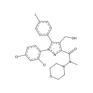 CN(C(=O)c1nn(-c2ccc(Cl)cc2Cl)c(-c2ccc(I)cc2)c1CO)N1CCOCC1